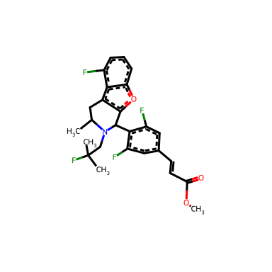 COC(=O)/C=C/c1cc(F)c(C2c3oc4cccc(F)c4c3CC(C)N2CC(C)(C)F)c(F)c1